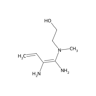 C=C/C(N)=C(/N)N(C)CCO